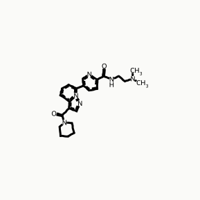 CN(C)CCNC(=O)c1ccc(-c2cccc3c(C(=O)N4CCCCC4)cnn23)cn1